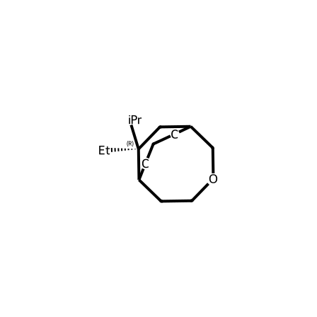 CC[C@]1(C(C)C)CC2CCCC1CCOC2